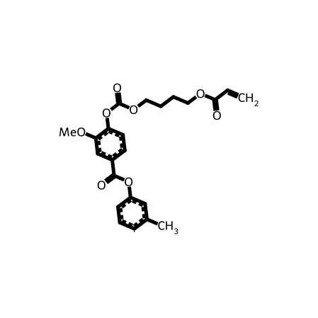 C=CC(=O)OCCCCOC(=O)Oc1ccc(C(=O)Oc2cc[c]c(C)c2)cc1OC